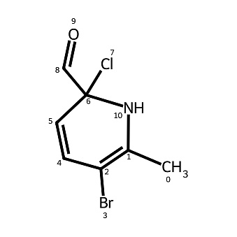 CC1=C(Br)C=CC(Cl)(C=O)N1